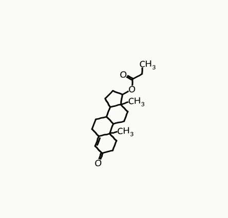 CCC(=O)OC1CCC2C3CCC4=CC(=O)CCC4(C)C3CCC12C